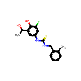 Cc1ccccc1CNC(=S)Nc1cc(Cl)c(O)c(C(C)O)c1